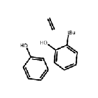 C=C.CC(C)(C)c1ccccc1O.Oc1ccccc1